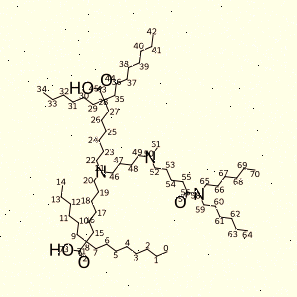 CCCCCCCCC(CCCCCC)(CCCCCCN(CCCCCCC(CCCCCC)(CCCCCCCC)C(=O)O)CCCCN(C)CCCCC(=O)N(CCCCCC)CCCCCC)C(=O)O